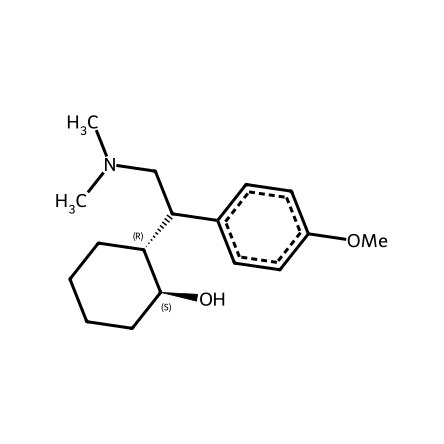 COc1ccc(C(CN(C)C)[C@H]2CCCC[C@@H]2O)cc1